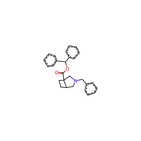 O=C(OC(c1ccccc1)c1ccccc1)C12CCC1CN(Cc1ccccc1)C2